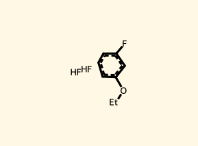 CCOc1cccc(F)c1.F.F